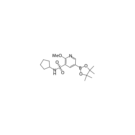 COc1ncc(B2OC(C)(C)C(C)(C)O2)cc1S(=O)(=O)NC1CCCC1